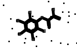 C=C(Cl)C(=O)Oc1c(Cl)c(Cl)c(Cl)c(Cl)c1Cl